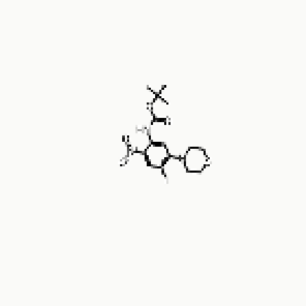 CC(C)(C)OC(=O)Nc1cc(N2CCSCC2)c(I)cc1[N+](=O)[O-]